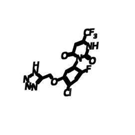 O=c1cc(C(F)(F)F)[nH]c(=O)n1-c1cc(OCc2nnn[nH]2)c(Cl)cc1F